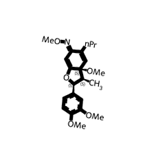 CCCC1=C[C@@]2(OC)C(=CC1=NOC)O[C@H](c1ccc(OC)c(OC)c1)[C@@H]2C